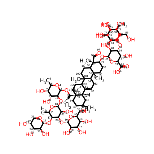 C=C(O[C@@H]1OC(C)[C@H](O)[C@@H](O)C1O[C@@H]1OC(C)[C@H](O[C@@H]2OC[C@@H](O)[C@@H](O)C2O)[C@H](O[C@@H]2OC(CO)[C@@H](O)[C@@H](O)C2O)C1O)[C@]12CCC(C)(C)C[C@H]1C1=CCC3[C@@]4(C)CC[C@H](O[C@@H]5OC(C(=O)O)[C@@H](O)[C@@H](O[C@@H]6OC(C)[C@H](O)[C@H](O)C6O)C5O[C@@H]5OC(CO)[C@H](O)[C@@H](O)C5O)[C@@](C)(C=O)C4CC[C@@]3(C)[C@]1(C)CC2